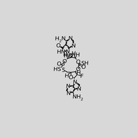 Nc1ncnc2c1ncn2[C@@H]1O[C@@H]2CSP(=O)(S)O[C@@H]3[C@H](O)[C@H](C[C@H]3n3[nH]c(=O)c4c(N)ncnc43)OP(=O)(S)O[C@H]2[C@H]1F